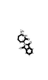 CCC[C@H]1CCC[C@H](N2C(=O)c3ccccc3C2=O)C(=O)N1